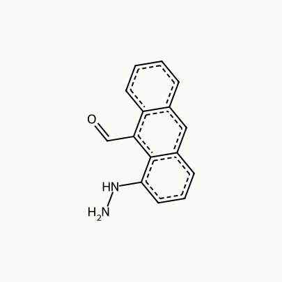 NNc1cccc2cc3ccccc3c(C=O)c12